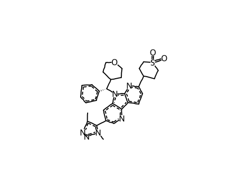 Cc1nnn(C)c1-c1cnc2c3ccc(C4CCS(=O)(=O)CC4)nc3n([C@H](c3ccccc3)C3CCOCC3)c2c1